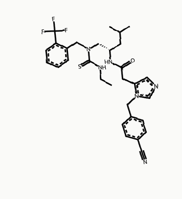 CCNC(=S)N(Cc1ccccc1C(F)(F)F)C[C@H](CC(C)C)NC(=O)Cc1cncn1Cc1ccc(C#N)cc1